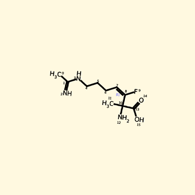 CC(=N)NCCC/C=C(/F)C(C)(N)C(=O)O